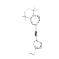 CC1(C)CCC(C)(C)c2cc(C#Cc3ccc(CC(=O)O)o3)ccc21